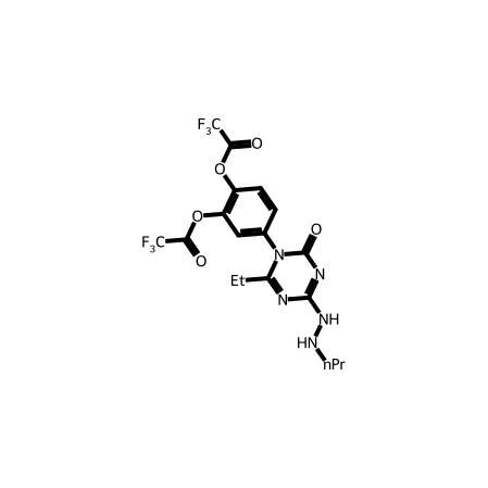 CCCNNc1nc(CC)n(-c2ccc(OC(=O)C(F)(F)F)c(OC(=O)C(F)(F)F)c2)c(=O)n1